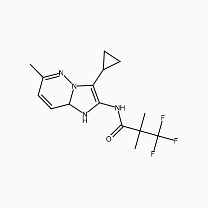 CC1=NN2C(C3CC3)=C(NC(=O)C(C)(C)C(F)(F)F)NC2C=C1